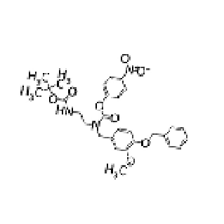 COc1cc(CN(CCNC(=O)OC(C)(C)C)C(=O)Oc2ccc([N+](=O)[O-])cc2)ccc1OCc1ccccc1